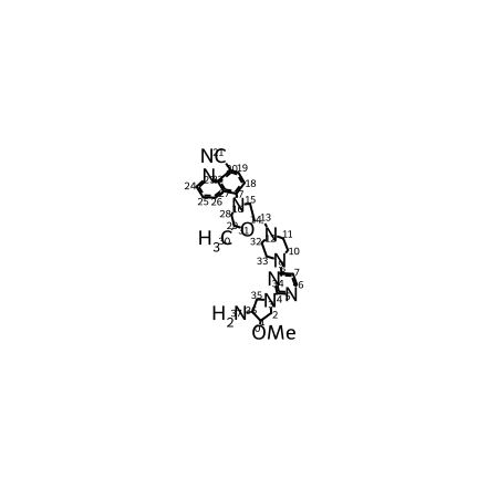 COC1CN(c2nccc(N3CCN(C[C@H]4CN(c5ccc(C#N)c6ncccc56)C[C@@H](C)O4)CC3)n2)C[C@@H]1N